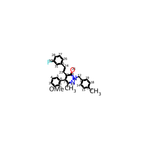 COc1ccccc1-c1c(C)nn(Cc2ccc(C)cc2)c(=O)c1C=Cc1cccc(F)c1